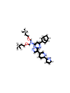 C[Si](C)(C)CCOCN(COCC[Si](C)(C)C)c1cc(C2CC3CCC(C3)C2)nc2c(-c3ccc(C4=NCC=C4)nc3)cnn12